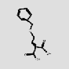 O=C(O)C(=CCOCc1ccccc1)C(=O)O